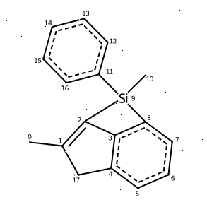 CC1=C2c3c(cccc3[Si]2(C)c2ccccc2)[CH]1